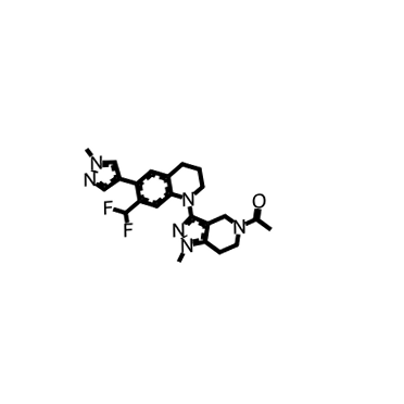 CC(=O)N1CCc2c(c(N3CCCc4cc(-c5cnn(C)c5)c(C(F)F)cc43)nn2C)C1